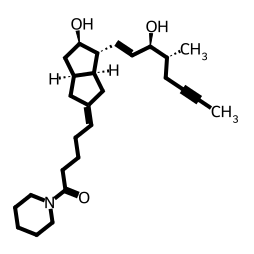 CC#CC[C@@H](C)[C@H](O)C=C[C@@H]1[C@H]2CC(=CCCCC(=O)N3CCCCC3)C[C@H]2C[C@H]1O